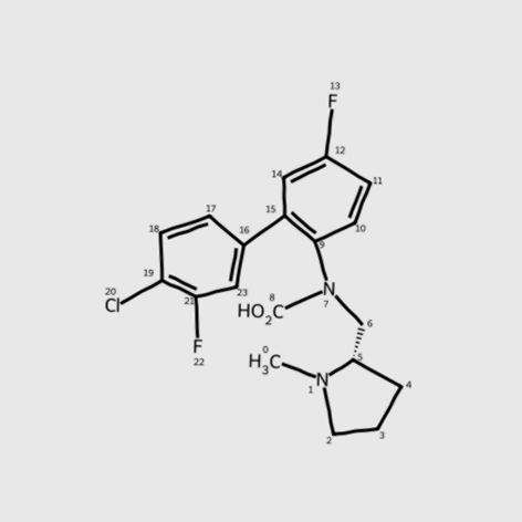 CN1CCC[C@H]1CN(C(=O)O)c1ccc(F)cc1-c1ccc(Cl)c(F)c1